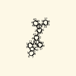 CC1(C)C2=C(CCC=C2)C2C=CC=C(n3c4ccccc4c4cc(-c5ccc6c(c5)c5c(n6C6=CC=CCC6)C=CCC5)ccc43)C21